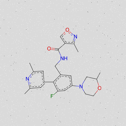 Cc1cc(-c2c(F)cc(N3CCOC(C)C3)cc2CNC(=O)c2conc2C)cc(C)n1